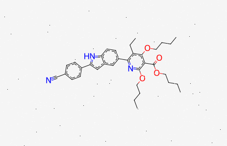 CCCCOC(=O)c1c(OCCCC)nc(-c2ccc3[nH]c(-c4ccc(C#N)cc4)cc3c2)c(CC)c1OCCCC